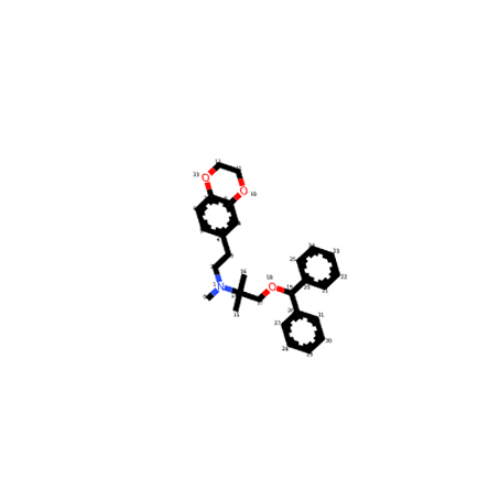 CN(CCc1ccc2c(c1)OCCO2)C(C)(C)COC(c1ccccc1)c1ccccc1